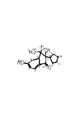 CC1(Cl)C2CC(O)=CC=C2C(=O)C1(C)C1CCCC1